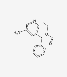 CCOC=O.Nc1cncc(Cc2ccccc2)c1